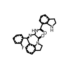 O=C(NC1N=C(c2ccccc2F)c2cccc3c2N(CC3)C1=O)c1cccc2c1NCC2